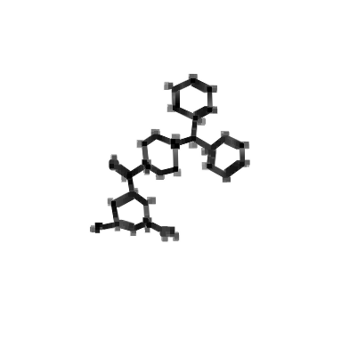 CN1C=C(F)C=C(C(=O)N2CCN(C(c3ccccc3)c3ccccc3)CC2)C1